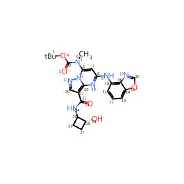 CN(C(=O)OC(C)(C)C)c1cc(Nc2cccc3ocnc23)nc2c(C(=O)NC3CC[C@H]3O)cnn12